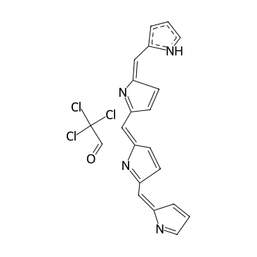 C1=CC(=CC2=NC(=CC3=NC(=Cc4ccc[nH]4)C=C3)C=C2)N=C1.O=CC(Cl)(Cl)Cl